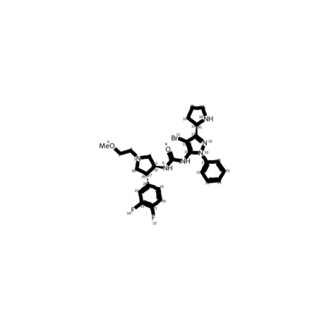 COCCN1C[C@@H](NC(=O)Nc2c(Br)c([C@H]3CCCN3)nn2-c2ccccc2)[C@H](c2ccc(F)c(F)c2)C1